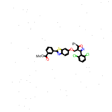 COC(=O)c1cccc(-c2nc3ccc(OCc4c(-c5c(Cl)cccc5Cl)noc4C(C)C)cc3s2)c1